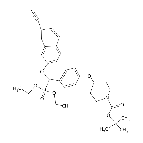 CCOP(=O)(OCC)C(Oc1ccc2ccc(C#N)cc2c1)c1ccc(OC2CCN(C(=O)OC(C)(C)C)CC2)cc1